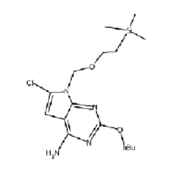 CCCCOc1nc(N)c2cc(Cl)n(COCC[Si](C)(C)C)c2n1